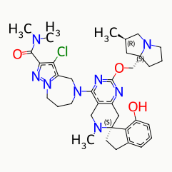 C[C@H]1CN2CCC[C@@]2(COc2nc3c(c(N4CCCn5nc(C(=O)N(C)C)c(Cl)c5C4)n2)CN(C)[C@@]2(CCc4cccc(O)c42)C3)C1